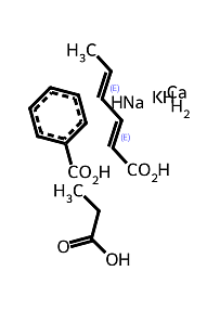 C/C=C/C=C/C(=O)O.CCC(=O)O.O=C(O)c1ccccc1.[CaH2].[KH].[NaH]